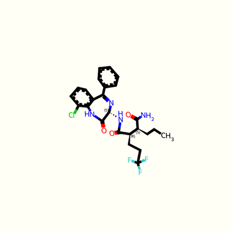 CCC[C@H](C(N)=O)[C@@H](CCC(F)(F)F)C(=O)N[C@H]1N=C(c2ccccc2)c2cccc(Cl)c2NC1=O